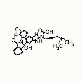 CCN(CC)CC#CCN(C(=O)O)c1nc2ccc(C3(O)c4ccccc4C(=O)N3c3cccc(Cl)c3F)cc2[nH]1